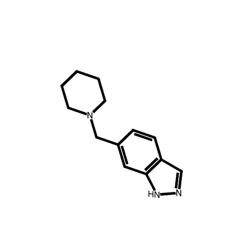 c1cc2cn[nH]c2cc1CN1CCCCC1